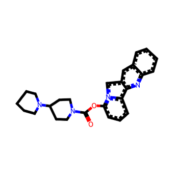 O=C(Oc1cccc2c3nc4ccccc4cc3cn12)N1CCC(N2CCCCC2)CC1